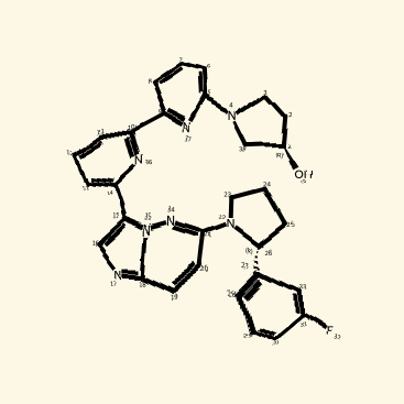 O[C@@H]1CCN(c2cccc(-c3cccc(-c4cnc5ccc(N6CCC[C@@H]6c6cccc(F)c6)nn45)n3)n2)C1